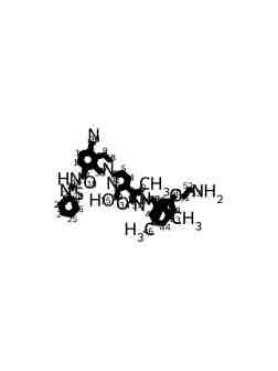 Cc1c(-c2ccc(N3CCc4c(C#N)ccc(C(=O)Nc5nc6ccccc6s5)c4C3)nc2C(=O)O)cnn1CC12CC3(C)CC(C)(C1)CC(OCCN)(C3)C2